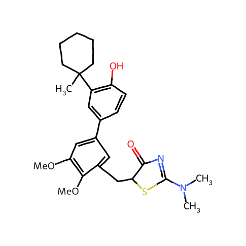 COc1cc(-c2ccc(O)c(C3(C)CCCCC3)c2)cc(CC2SC(N(C)C)=NC2=O)c1OC